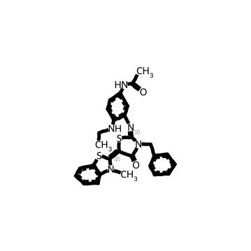 CCNc1ccc(NC(C)=O)cc1/N=C1\S/C(=C2\Sc3ccccc3N2C)C(=O)N1Cc1ccccc1